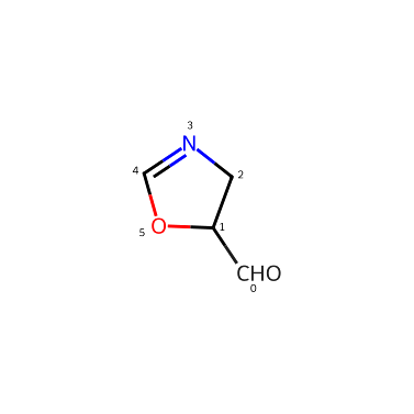 O=CC1CN=CO1